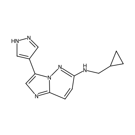 c1n[nH]cc1-c1cnc2ccc(NCC3CC3)nn12